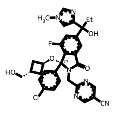 CCC(O)(c1cc(F)c2c(c1)C(=O)N(Cc1ncc(C#N)cn1)[C@@]2(O[C@H]1C[C@H](CO)C1)c1ccc(Cl)cc1)c1cn(C)cn1